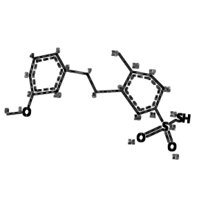 COc1cccc(CCc2cc(S(=O)(=O)S)ccc2C)c1